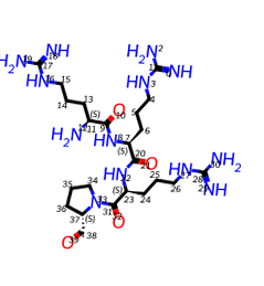 N=C(N)NCCC[C@H](NC(=O)[C@@H](N)CCCNC(=N)N)C(=O)N[C@@H](CCCNC(=N)N)C(=O)N1CCC[C@H]1[C]=O